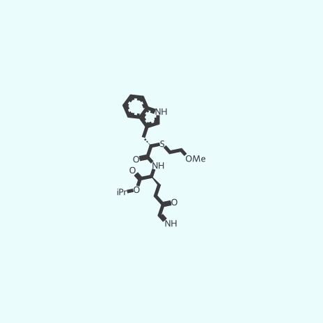 COCCS[C@@H](Cc1c[nH]c2ccccc12)C(=O)N[C@@H](CCC(=O)C=N)C(=O)OC(C)C